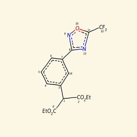 CCOC(=O)C(C(=O)OCC)c1cccc(-c2noc(C(F)(F)F)n2)c1